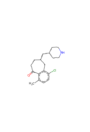 Cc1ccc(Cl)c2c1C(=O)CCC(CC1CCNCC1)C2